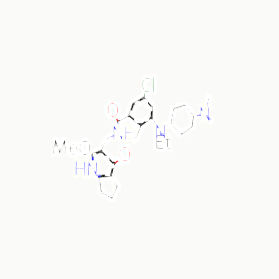 CCN(c1cc(Cl)cc(C(=O)NCc2c(OC)[nH]c3c(c2=O)CCC3)c1C)[C@H]1CC[C@H](N(C)C)CC1